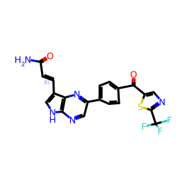 NC(=O)/C=C/c1c[nH]c2ncc(-c3ccc(C(=O)c4cnc(C(F)(F)F)s4)cc3)nc12